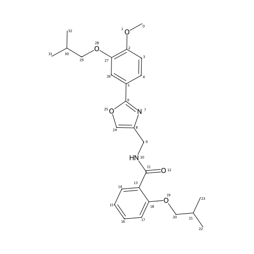 COc1ccc(-c2nc(CNC(=O)c3ccccc3OCC(C)C)co2)cc1OCC(C)C